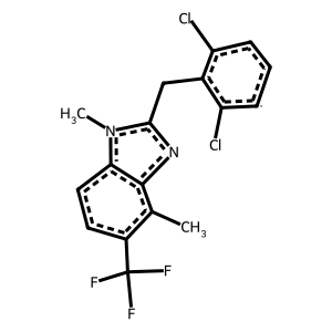 Cc1c(C(F)(F)F)ccc2c1nc(Cc1c(Cl)[c]ccc1Cl)n2C